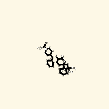 CC(=O)N1CCC([C@H](CC2CCC(CC(C)(C)O)(c3ccccc3)OC2=O)c2ccccc2)CC1